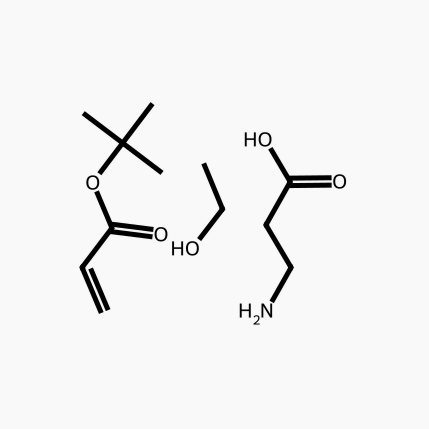 C=CC(=O)OC(C)(C)C.CCO.NCCC(=O)O